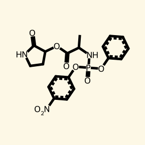 CC(NP(=O)(Oc1ccccc1)Oc1ccc([N+](=O)[O-])cc1)C(=O)OC1CCNC1=O